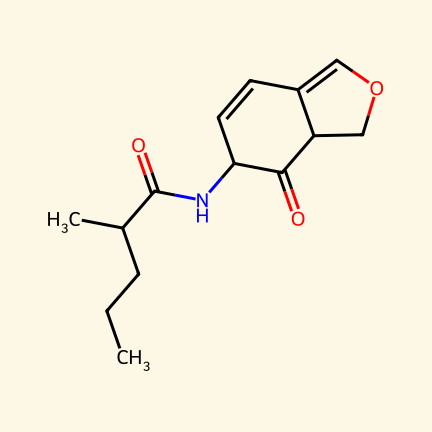 CCCC(C)C(=O)NC1C=CC2=COCC2C1=O